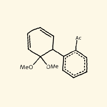 COC1(OC)C=CC=CC1c1ccccc1C(C)=O